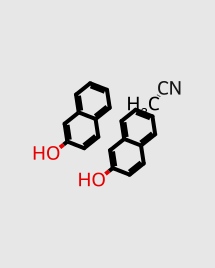 CC#N.Oc1ccc2ccccc2c1.Oc1ccc2ccccc2c1